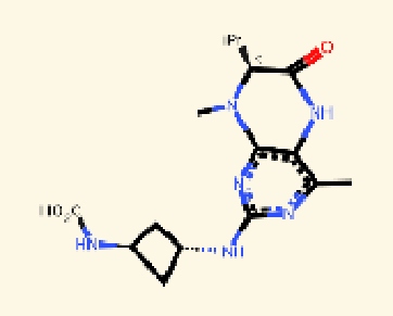 Cc1nc(N[C@H]2C[C@H](NC(=O)O)C2)nc2c1NC(=O)[C@H](C(C)C)N2C